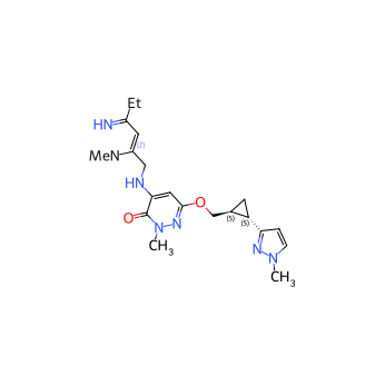 CCC(=N)/C=C(/CNc1cc(OC[C@H]2C[C@@H]2c2ccn(C)n2)nn(C)c1=O)NC